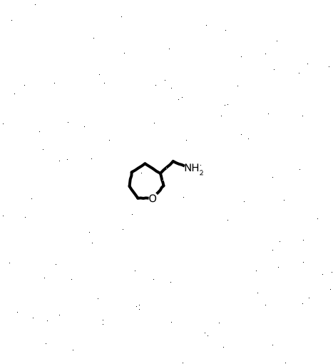 NCC1CCCCOC1